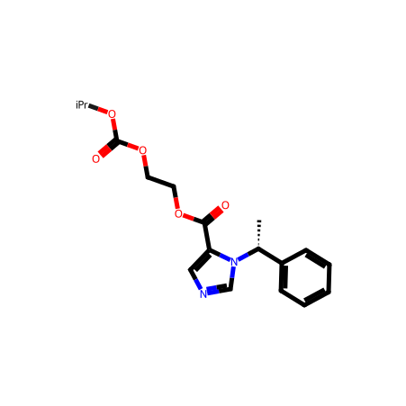 CC(C)OC(=O)OCCOC(=O)c1cncn1[C@H](C)c1ccccc1